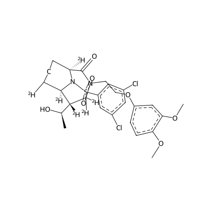 [2H]C1CC[C@@]2([2H])C(=O)N(CCOc3ccc(OC)c(OC)c3)C([2H])([2H])[C@]([2H])([C@@H](C)O)[C@]1([2H])N2S(=O)(=O)c1cc(Cl)cc(Cl)c1